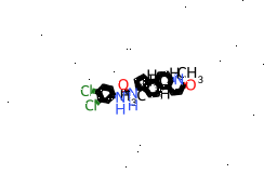 CN1C(=O)C=C[C@]2(C)[C@H]3CC[C@]4(C)[C@@H](NC(=O)Nc5ccc(Cl)c(Cl)c5)CC[C@H]4[C@@H]3CC[C@@H]12